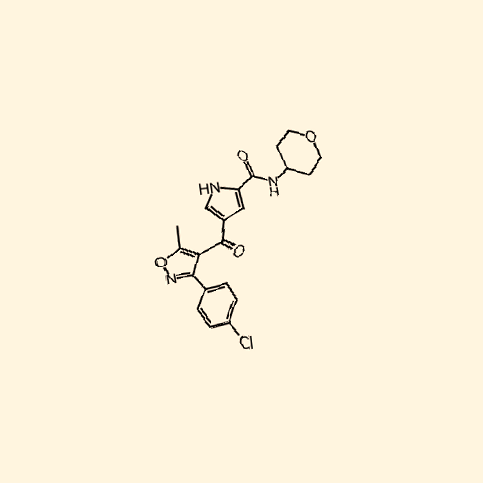 Cc1onc(-c2ccc(Cl)cc2)c1C(=O)c1c[nH]c(C(=O)NC2CCOCC2)c1